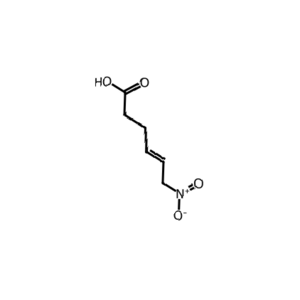 O=C(O)CCC=CC[N+](=O)[O-]